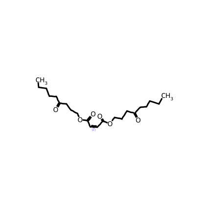 CCCCCC(=O)CCCOC(=O)/C=C\C(=O)OCCCC(=O)CCCCC